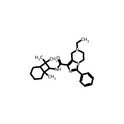 CCN1CCn2c(-c3ccccc3)nc(C(=O)NC3C(C)(C)C4CCCCC43C)c2C1